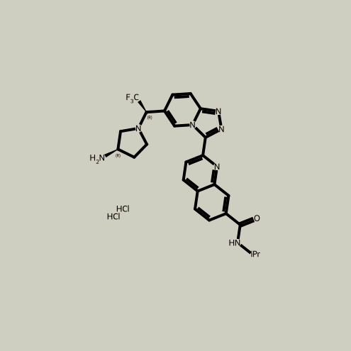 CC(C)NC(=O)c1ccc2ccc(-c3nnc4ccc([C@@H](N5CC[C@@H](N)C5)C(F)(F)F)cn34)nc2c1.Cl.Cl